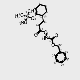 CC(C)(C)[Si](C)(C)O[C@@H]1CCCC[C@H]1CCC(=O)ONC(=O)OCc1ccccc1